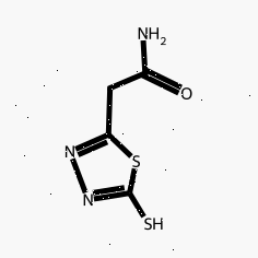 NC(=O)Cc1nnc(S)s1